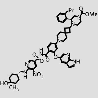 COC(=O)N1CCN(C2CC3(CCN(c4ccc(C(=O)NS(=O)(=O)c5cnc(NC[C@H]6CC[C@](C)(O)CC6)c([N+](=O)[O-])c5)c(Oc5cnc6[nH]ccc6c5)c4)CC3)C2)[C@@H](c2ccccc2C(C)C)C1